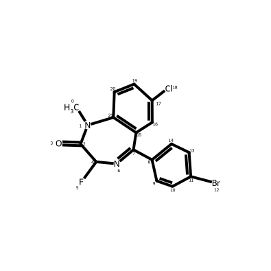 CN1C(=O)C(F)N=C(c2ccc(Br)cc2)c2cc(Cl)ccc21